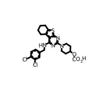 O=C(O)OC1CCN(c2nc(NCc3ccc(Cl)c(Cl)c3)c3c4c(sc3n2)CCCC4)CC1